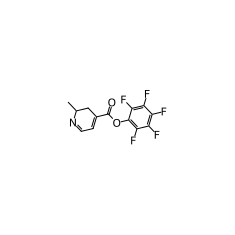 CC1CC(C(=O)Oc2c(F)c(F)c(F)c(F)c2F)=CC=N1